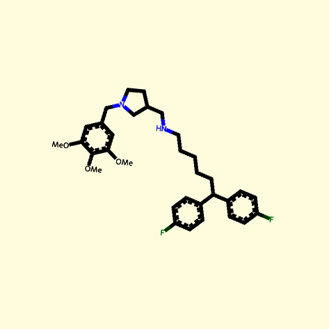 COc1cc(CN2CCC(CNCCCCCC(c3ccc(F)cc3)c3ccc(F)cc3)C2)cc(OC)c1OC